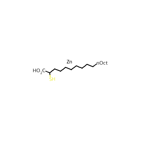 CCCCCCCCCCCCCCCCC(S)C(=O)O.[Zn]